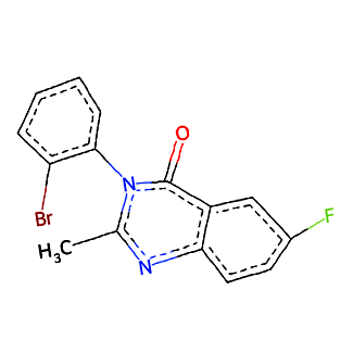 Cc1nc2ccc(F)cc2c(=O)n1-c1ccccc1Br